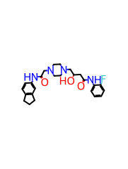 O=C(CN1CCN(CC(O)CC(=O)Nc2ccccc2F)CC1)Nc1ccc2c(c1)CCC2